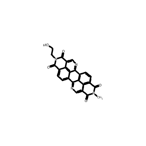 CN1C(=O)c2ccc3c4ncc5c6c(ccc(c7ncc(c2c37)C1=O)c64)C(=O)N(CCO)C5=O